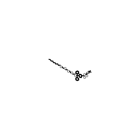 CCCCCCCCCCOCCOCCOCCOCCOC(c1ccccc1)(c1ccccc1)c1ccc(C(=O)OC(=O)OCC(C)(C)C)cc1